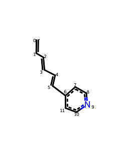 [CH]=C/C=C/C=C/c1ccncc1